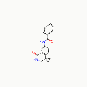 O=C(Nc1ccc2c(c1)C(=O)NCC21CC1)c1ccccc1